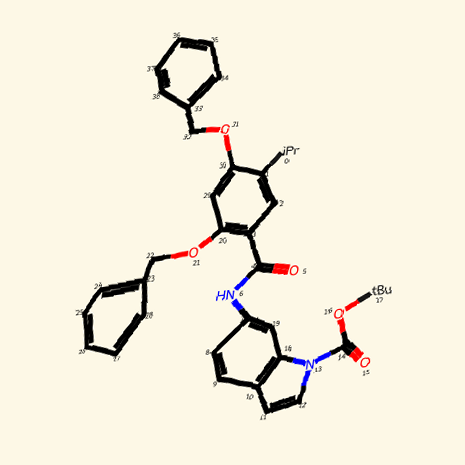 CC(C)c1cc(C(=O)Nc2ccc3ccn(C(=O)OC(C)(C)C)c3c2)c(OCc2ccccc2)cc1OCc1ccccc1